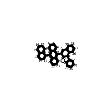 C1=C(c2c3ccccc3c(-c3cccc4ccccc34)c3ccccc23)C2Oc3ccccc3C2c2ccccc21